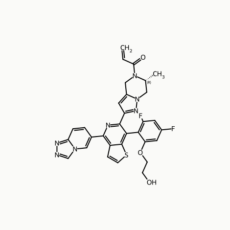 C=CC(=O)N1Cc2cc(-c3nc(-c4ccc5nncn5c4)c4ccsc4c3-c3c(F)cc(F)cc3OCCO)nn2C[C@H]1C